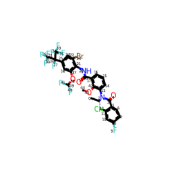 CCN(C(=O)c1ccc(F)cc1Cl)c1cccc(C(=O)Nc2c(Br)cc(C(F)(C(F)(F)F)C(F)(F)F)cc2OC(F)F)c1OC